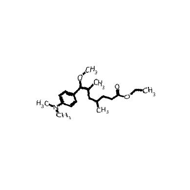 CCOC(=O)CCC(C)CC(C)C(OC)c1ccc(N(C)C)cc1